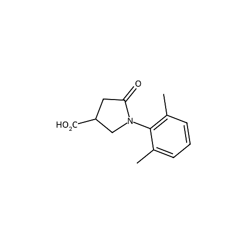 Cc1cccc(C)c1N1CC(C(=O)O)CC1=O